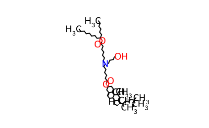 CCCCCCCCC(CCCCCC)OC(=O)CCCCCCN(CCCCO)CCCCCC(=O)O[C@H]1CC[C@@]2(C)C(=CCC3C2C(C)C[C@]2(C)[C@@H]([C@H](C)CCCC(C)C)CC[C@@H]32)C1